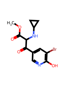 COC(=O)C(NC1CC1)C(=O)c1cnc(O)c(Br)c1